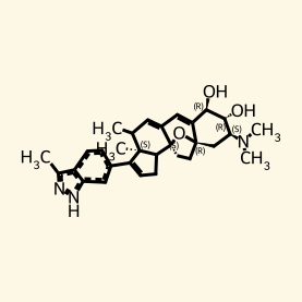 Cc1n[nH]c2cc(C3=CCC4[C@]3(C)C(C)C=C3C=C5[C@@H](O)[C@H](O)[C@@H](N(C)C)C[C@]56CC[C@@]34O6)ccc12